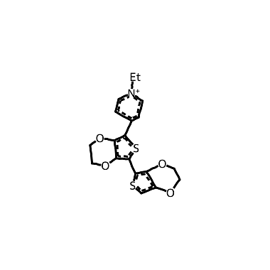 CC[n+]1ccc(-c2sc(-c3scc4c3OCCO4)c3c2OCCO3)cc1